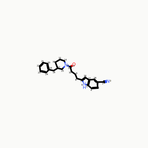 N#Cc1ccc2[nH]c(CCCC(=O)N3CCCC(Cc4ccccc4)C3)cc2c1